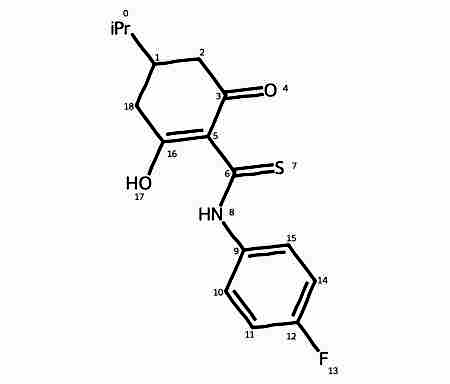 CC(C)C1CC(=O)C(C(=S)Nc2ccc(F)cc2)=C(O)C1